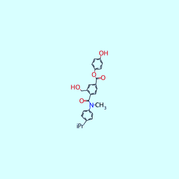 CC(C)c1ccc(N(C)C(=O)c2ccc(C(=O)Oc3ccc(O)cc3)cc2CO)cc1